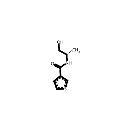 C[C@@H](CO)NC(=O)c1ccsc1